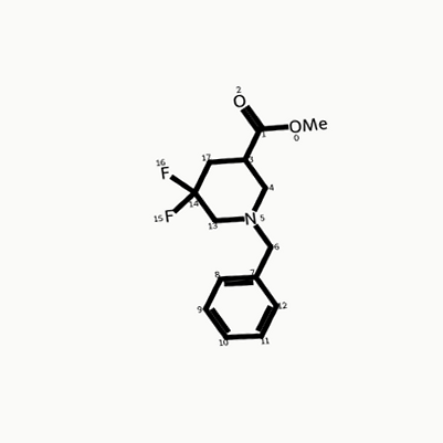 COC(=O)C1CN(Cc2ccccc2)CC(F)(F)C1